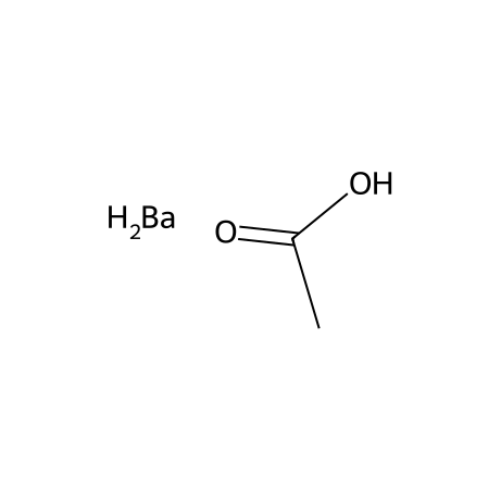 CC(=O)O.[BaH2]